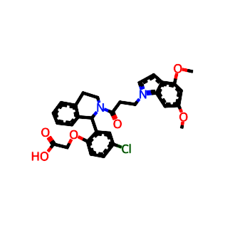 COc1cc(OC)c2ccn(CCC(=O)N3CCc4ccccc4C3c3cc(Cl)ccc3OCC(=O)O)c2c1